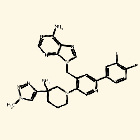 Cn1cc(C2(N)CCCN(c3cnc(-c4ccc(F)c(F)c4)cc3Cn3cnc4c(N)ncnc43)C2)nn1